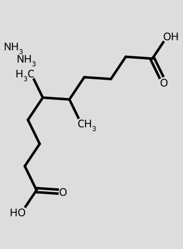 CC(CCCC(=O)O)C(C)CCCC(=O)O.N.N